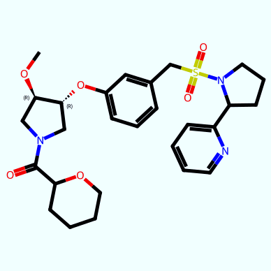 CO[C@@H]1CN(C(=O)C2CCCCO2)C[C@H]1Oc1cccc(CS(=O)(=O)N2CCCC2c2ccccn2)c1